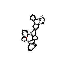 c1ccc(-n2c3ccccc3c3ccc4c5cc6c(cc5n(-c5ccccc5)c4c32)c2ccccc2c2nccn62)cc1